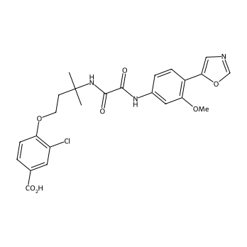 COc1cc(NC(=O)C(=O)NC(C)(C)CCOc2ccc(C(=O)O)cc2Cl)ccc1-c1cnco1